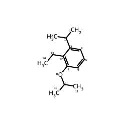 [CH2]C(C)c1cccc(OC(C)C)c1CC